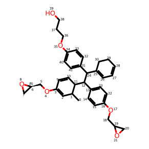 CC1C=C(OC[C@H]2CO2)C=CC1C(c1ccc(OCC2CO2)cc1)C(C1=CC=CCC1)c1ccc(OCCCO)cc1